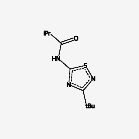 CC(C)C(=O)Nc1nc(C(C)(C)C)ns1